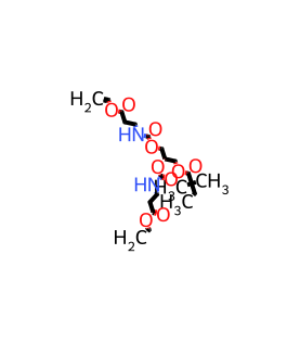 C=COC(=O)CCNC(=O)OCC(COC(=O)C(C)(C)CC)OC(=O)NCCC(=O)OC=C